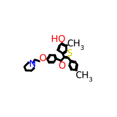 Cc1ccc(-c2sc3c(C)c(O)ccc3c2C(=O)c2ccc(OCCN3CCCCC3)cc2)cc1